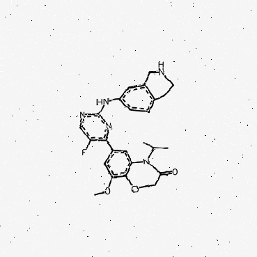 COc1cc(-c2nc(Nc3ccc4c(c3)CNCC4)ncc2F)cc2c1OCC(=O)N2C(C)C